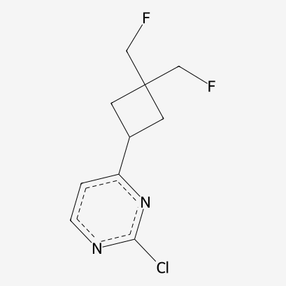 FCC1(CF)CC(c2ccnc(Cl)n2)C1